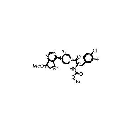 CO[C@@H]1C[C@@H](C)c2c1ncnc2N1CCN(C(=O)[C@@H](Cc2ccc(Cl)c(F)c2)NC(=O)OC(C)(C)C)C[C@@H]1C